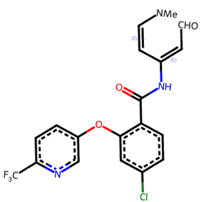 CN/C=C\C(=C/C=O)NC(=O)c1ccc(Cl)cc1Oc1ccc(C(F)(F)F)nc1